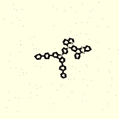 c1ccc(-c2ccc(-c3ccc4c(c3)c3cc(-c5ccc(-c6ccccc6)cc5)ccc3n4-c3ccc(N(c4ccc(-c5nc6ccccc6nc5-c5ccccc5)cc4)c4cccc5cccnc45)cc3)cc2)cc1